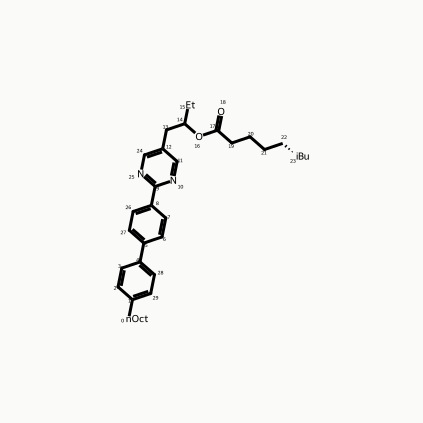 CCCCCCCCc1ccc(-c2ccc(-c3ncc(CC(CC)OC(=O)CCCC[C@@H](C)CC)cn3)cc2)cc1